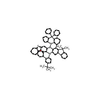 CC(C)(C)c1ccc(N2c3cc4c(cc3B3c5c2cc2c(c5-c5cccc6c5N3c3ccccc3C6(c3ccccc3)c3ccccc3)C(C)(C)c3ccccc3-2)sc2ccccc24)c(-c2ccccc2)c1